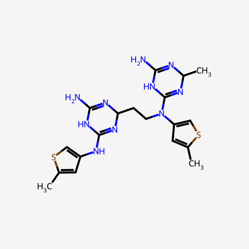 Cc1cc(NC2=NC(CCN(C3=NC(C)N=C(N)N3)c3csc(C)c3)N=C(N)N2)cs1